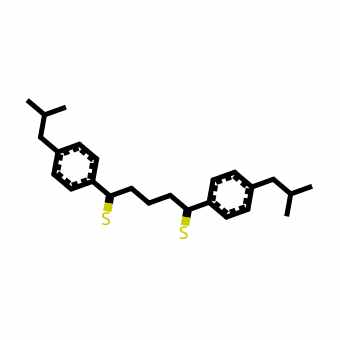 CC(C)Cc1ccc(C(=S)CCCC(=S)c2ccc(CC(C)C)cc2)cc1